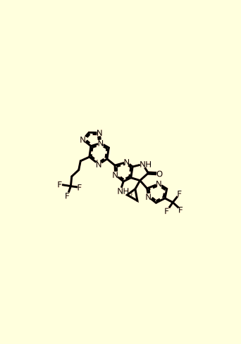 Nc1nc(-c2cn3ncnc3c(CCCC(F)(F)F)n2)nc2c1C(c1ncc(C(F)(F)F)cn1)(C1CC1)C(=O)N2